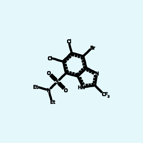 CCN(CC)S(=O)(=O)c1c(Cl)c(Cl)c(Br)c2nc(C(F)(F)F)[nH]c12